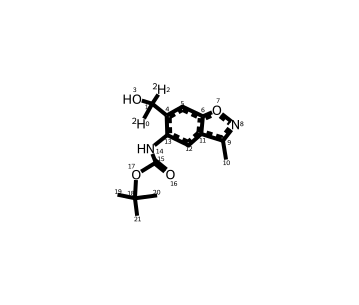 [2H]C([2H])(O)c1cc2onc(C)c2cc1NC(=O)OC(C)(C)C